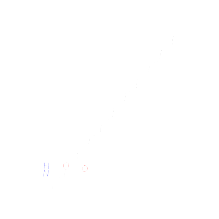 CCCCCCCCCCCCCCCCCC(=O)OCC(C)NC